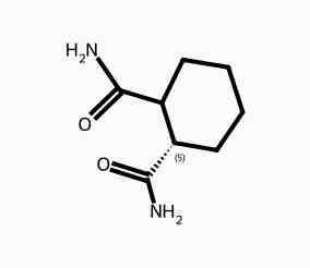 NC(=O)C1CCCC[C@@H]1C(N)=O